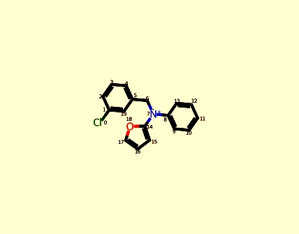 Clc1cccc(C[N+](c2ccccc2)c2ccco2)c1